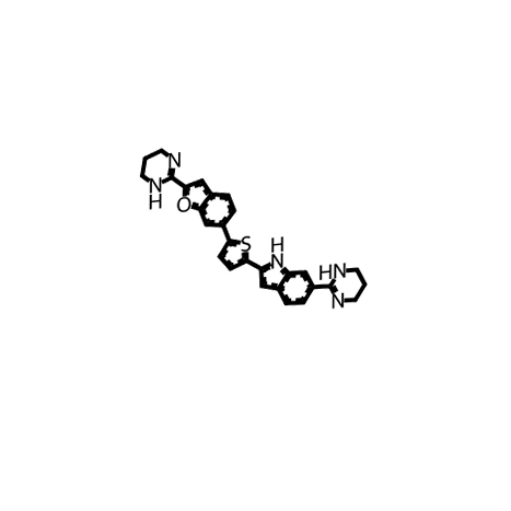 c1cc2cc(-c3ccc(-c4ccc5cc(C6=NCCCN6)oc5c4)s3)[nH]c2cc1C1=NCCCN1